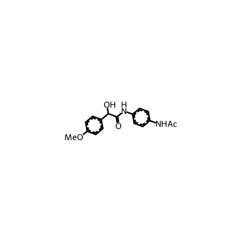 COc1ccc(C(O)C(=O)Nc2ccc(NC(C)=O)cc2)cc1